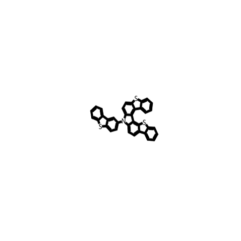 c1ccc2c(c1)sc1ccc(-n3c4ccc5c6ccccc6sc5c4c4c5c(ccc43)sc3ccccc35)cc12